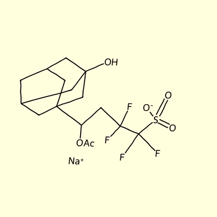 CC(=O)OC(CC(F)(F)C(F)(F)S(=O)(=O)[O-])C12CC3CC(CC(O)(C3)C1)C2.[Na+]